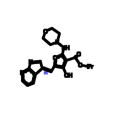 CC(C)OC(=O)c1c(NN2CCOCC2)oc(/C=C2\C=Nc3ncccc32)c1O